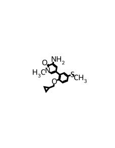 CSc1ccc(OCC2CC2)c(-c2cc(N)c(=O)n(C)c2)c1